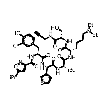 C#CCNC(=O)[C@H](CO)NC(=O)[C@H](CCCCN(CC)CC)NC(=O)C(NC(=O)[C@@H](NC(=O)[C@H](Cc1ccc(O)c(Cl)c1)NC(=O)c1cc(C(C)C)on1)c1ccsc1)[C@@H](C)CC